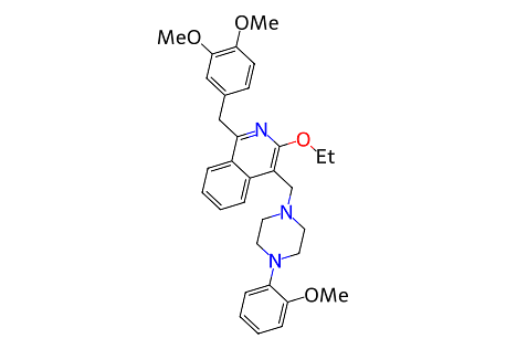 CCOc1nc(Cc2ccc(OC)c(OC)c2)c2ccccc2c1CN1CCN(c2ccccc2OC)CC1